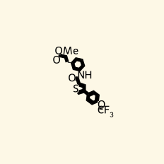 COC(=O)CC[C@@H]1CCC[C@@H](NC(=O)c2cc(-c3ccc(OC(F)(F)F)cc3)cs2)C1